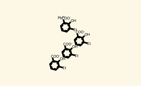 CCc1cccc(C(=O)[O-])c1O.CCc1cccc(C(=O)[O-])c1O.CCc1cccc(C(=O)[O-])c1O.CCc1cccc(C(=O)[O-])c1O.[Pb+4]